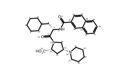 O=C(N[C@@H](CC1CCCCC1)C(=O)N1C[C@H](N2CCCCC2)C[C@@H]1C(=O)O)c1ccc2ccccc2c1